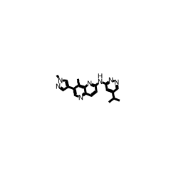 Cc1c(-c2cnn(C)c2)cnc2ccc(Nc3cc(C(C)C)cnn3)nc12